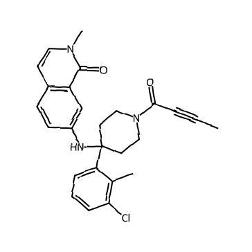 CC#CC(=O)N1CCC(Nc2ccc3ccn(C)c(=O)c3c2)(c2cccc(Cl)c2C)CC1